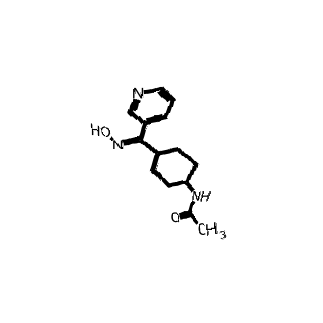 CC(=O)NC1CCC(C(=NO)c2cccnc2)CC1